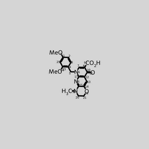 COc1ccc(Cn2cc(C(=O)O)c(=O)c3cc4c(nc32)N(C)CCO4)c(OC)c1